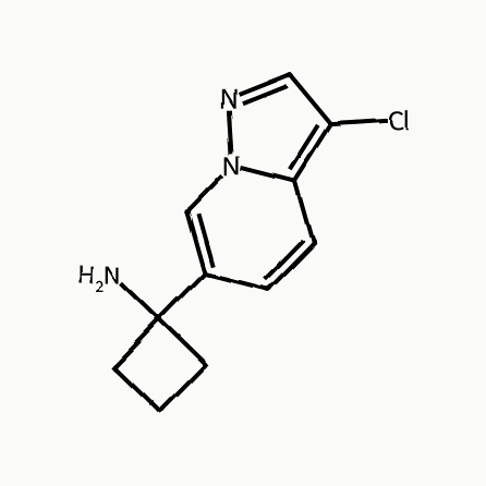 NC1(c2ccc3c(Cl)cnn3c2)CCC1